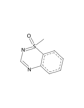 CS1(=O)=NC=Nc2ccccc21